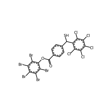 O=C(Oc1c(Br)c(Br)c(Br)c(Br)c1Br)c1ccc(C(S)c2c(Cl)c(Cl)c(Cl)c(Cl)c2Cl)cc1